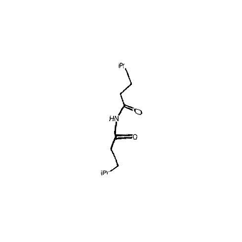 CC(C)CCC(=O)NC(=O)CCC(C)C